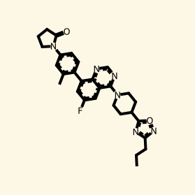 CCCc1noc(C2CCN(c3ncnc4c(-c5ccc(N6CCCC6=O)cc5C)cc(F)cc34)CC2)n1